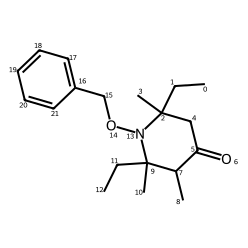 CCC1(C)CC(=O)C(C)C(C)(CC)N1OCc1ccccc1